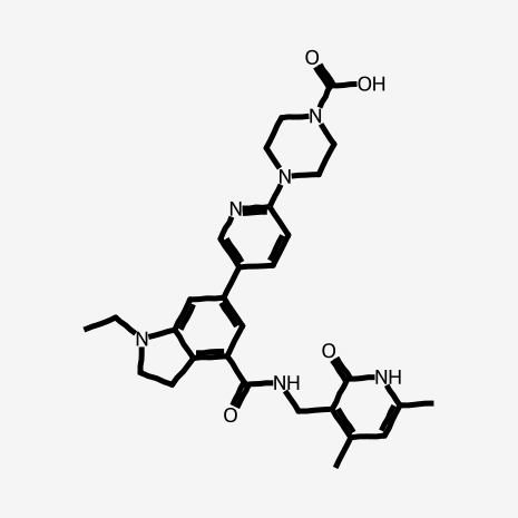 CCN1CCc2c(C(=O)NCc3c(C)cc(C)[nH]c3=O)cc(-c3ccc(N4CCN(C(=O)O)CC4)nc3)cc21